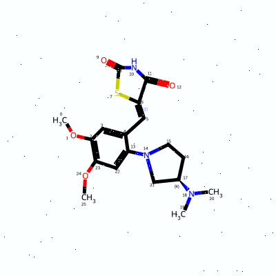 COc1cc(/C=C2\SC(=O)NC2=O)c(N2CC[C@@H](N(C)C)C2)cc1OC